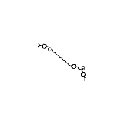 C=C(C)c1ccc(COCCCCCCCCCCCCc2ccc(/C=C/C(=O)c3ccc(F)cc3)cc2)cc1